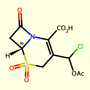 CC(=O)OC(Cl)C1=C(C(=O)O)N2C(=O)C[C@H]2S(=O)(=O)C1